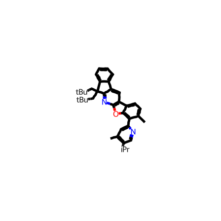 Cc1cc(-c2c(C)ccc3c2oc2nc4c(cc23)-c2ccccc2C4(CC(C)(C)C)CC(C)(C)C)ncc1C(C)C